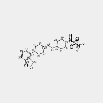 CN(C)S(=O)(=O)NC1CCC(CCN2CCC(c3cccc4c3CCO4)CC2)CC1